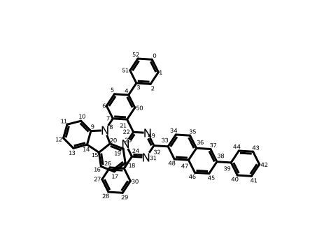 c1ccc(-c2ccc(-n3c4ccccc4c4ccccc43)c(-c3nc(-c4ccccc4)nc(-c4ccc5cc(-c6ccccc6)ccc5c4)n3)c2)cc1